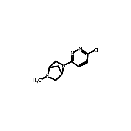 CN1CC2CC1CN2c1ccc(Cl)nn1